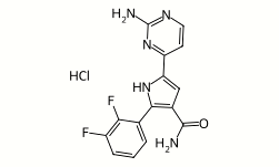 Cl.NC(=O)c1cc(-c2ccnc(N)n2)[nH]c1-c1cccc(F)c1F